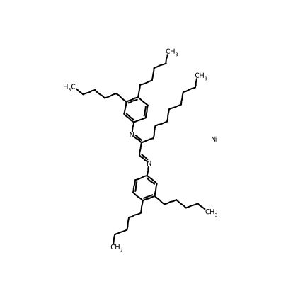 CCCCCCCCC(/C=N/c1ccc(CCCCC)c(CCCCC)c1)=N\c1ccc(CCCCC)c(CCCCC)c1.[Ni]